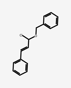 ClC(C=Cc1ccccc1)OCc1ccccc1